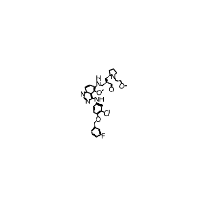 COCCN1CCC[C@@H]1/C=C(\C=O)CNc1ccc2ncnc(Nc3ccc(OCc4cccc(F)c4)c(Cl)c3)c2c1OC